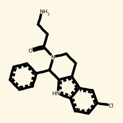 NCCC(=O)N1CCc2c([nH]c3ccc(Cl)cc23)C1c1ccccc1